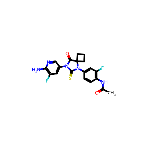 CC(=O)Nc1ccc(N2C(=S)N(c3cnc(N)c(F)c3)C(=O)C23CCC3)cc1F